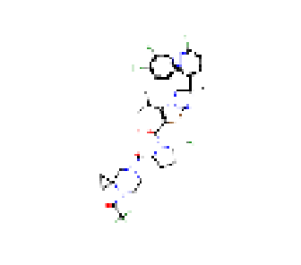 CC(C)C1=C(C(=O)N2[C@H](CF)CC[C@@H]2C(=O)N2CCN(C(=O)C(F)(F)F)C3(CC3)C2)SC2=N[C@@](C)(c3ccc(Cl)nc3)[C@@H](c3ccc(Cl)c(F)c3)N21